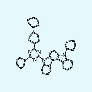 c1ccc(-c2ccc(-c3nc(-c4ccccc4)nc(-n4c5ccccc5c5c6c7ccccc7n(-c7ccccc7)c6ccc54)n3)cc2)cc1